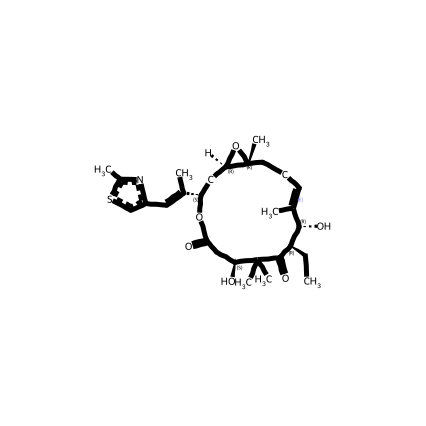 CC[C@H]1C(=O)C(C)(C)[C@@H](O)CC(=O)O[C@H](C(C)=Cc2csc(C)n2)C[C@H]2O[C@]2(C)CC/C=C(\C)[C@@H]1O